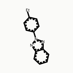 CCc1ccc(-n2nc3ccccc3n2)cc1